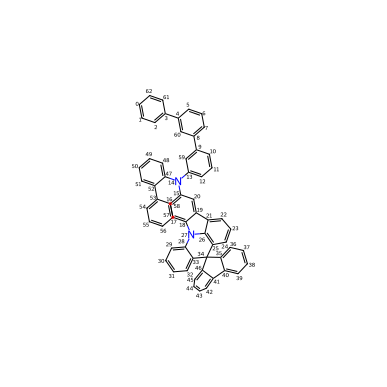 c1ccc(-c2cccc(-c3cccc(N(c4ccc5c(c4)c4cccc6c4n5-c4ccccc4C64c5ccccc5-c5ccccc54)c4ccccc4-c4ccccc4)c3)c2)cc1